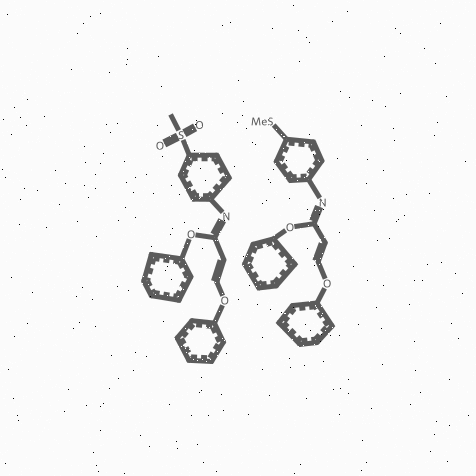 CS(=O)(=O)c1ccc(N=C(C=COc2ccccc2)Oc2ccccc2)cc1.CSc1ccc(N=C(C=COc2ccccc2)Oc2ccccc2)cc1